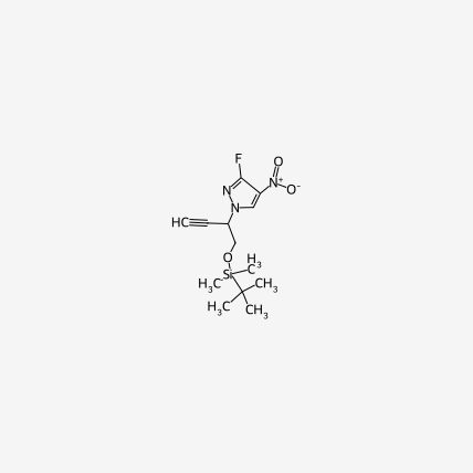 C#CC(CO[Si](C)(C)C(C)(C)C)n1cc([N+](=O)[O-])c(F)n1